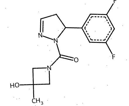 CC1(O)CN(C(=O)N2N=CCC2c2cc(F)cc(F)c2)C1